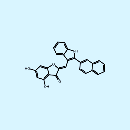 O=C1C(=Cc2c(-c3ccc4ccccc4c3)[nH]c3ccccc23)Oc2cc(O)cc(O)c21